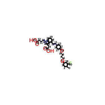 Cc1ccc(OCCCCOc2ccc(/C=C/c3cccc4c3c(CC(=O)O)cn4CCCC(=O)O)cc2)cc1F